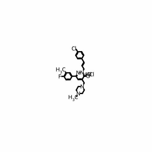 Cc1cc(-c2cc(CN3CCN(C)CC3)c(=O)n(CC=Cc3ccc(Cl)cc3)n2)ccc1F.Cl.Cl